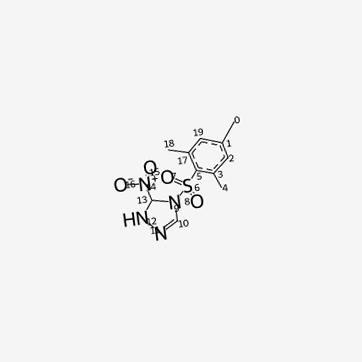 Cc1cc(C)c(S(=O)(=O)N2C=NNC2[N+](=O)[O-])c(C)c1